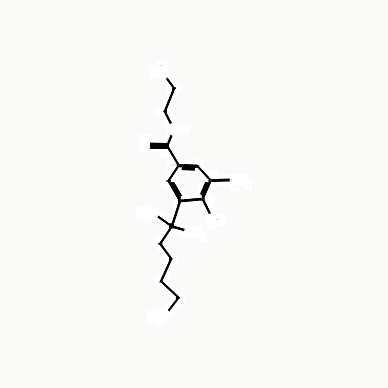 CCCCCC(C)(C)c1cc(C(=O)OCCO)cc(C)c1O